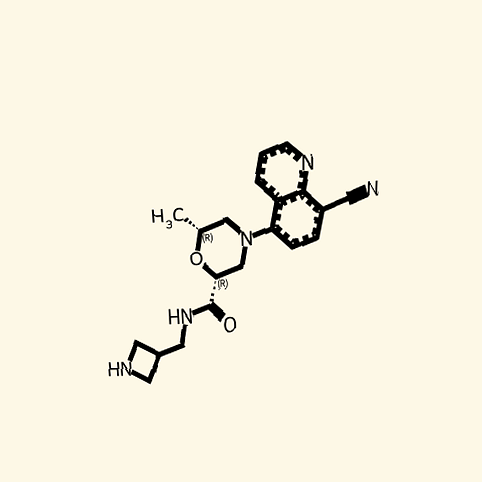 C[C@@H]1CN(c2ccc(C#N)c3ncccc23)C[C@H](C(=O)NCC2CNC2)O1